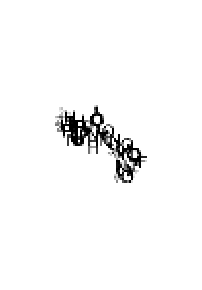 [2H]C([2H])([2H])C([2H])([2H])n1nccc1C(=O)N[C@H](C(=O)Nc1ncc([C@@H](CN2C[C@@H](C)O[C@@H](C)C2)N2CC(F)(F)CCC2=O)s1)C1CCC(C)CC1